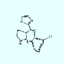 Clc1cccc(Cl)c1O[C@H](c1ncco1)[C@@H]1CCNC1